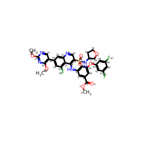 COC(=O)c1cc(Nc2c(S(=O)(=O)NC3CCOC3)cnc3cc(-c4cnc(OC)nc4OC)cc(F)c23)cc(Oc2cc(F)cc(F)c2)c1